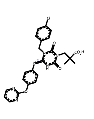 CC(C)(Cn1c(=O)[nH]/c(=N\c2ccc(Oc3ncccn3)cc2)n(Cc2ccc(Cl)cc2)c1=O)C(=O)O